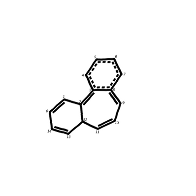 C1=CC2=c3ccccc3=CC=CC2C=C1